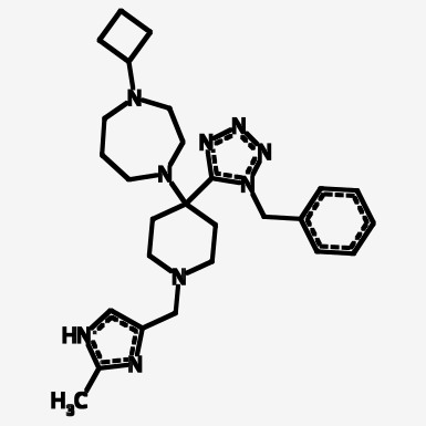 Cc1nc(CN2CCC(c3nnnn3Cc3ccccc3)(N3CCCN(C4CCC4)CC3)CC2)c[nH]1